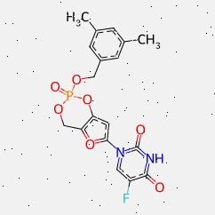 Cc1cc(C)cc(COP2(=O)OCc3oc(-n4cc(F)c(=O)[nH]c4=O)cc3O2)c1